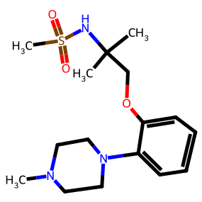 CN1CCN(c2ccccc2OCC(C)(C)NS(C)(=O)=O)CC1